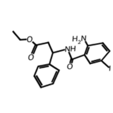 CCOC(=O)CC(NC(=O)c1cc(I)ccc1N)c1ccccc1